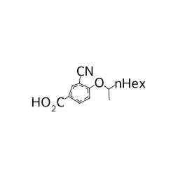 CCCCCCC(C)Oc1ccc(C(=O)O)cc1C#N